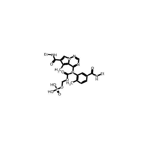 CCNC(=O)c1ccc(C)c(N(C(=O)OCOP(=O)(O)O)c2ncnn3cc(C(=O)NCC)c(C)c23)c1